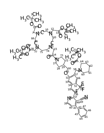 CC(C)(C)OC(=O)CN1CCN(CC(=O)OC(C)(C)C)CCN(CC(=O)N2CCC(COc3cc(/C=C/c4nccc(-c5ccccc5)c4C#N)c(C(F)(F)F)cc3CN3CCCC[C@H]3C(=O)OC(C)(C)C)CC2)CCN(CC(=O)OC(C)(C)C)CC1